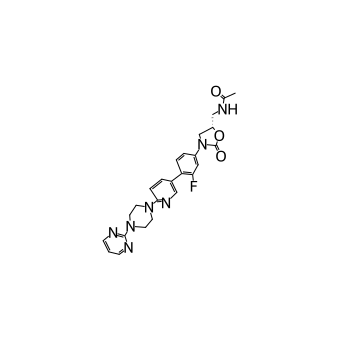 CC(=O)NC[C@H]1CN(c2ccc(-c3ccc(N4CCN(c5ncccn5)CC4)nc3)c(F)c2)C(=O)O1